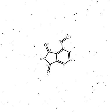 O=Nc1cccc2c1C(=O)OC2=O